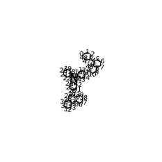 c1ccc(-c2cccc3ccc(-c4ccc(N(c5ccccc5)c5ccc(-c6cc7ccccc7c7ccccc67)cc5)cc4)cc23)cc1